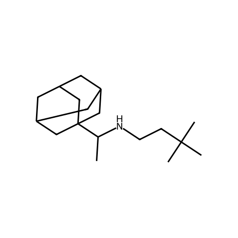 CC(NCCC(C)(C)C)C12CC3CC(CC(C3)C1)C2